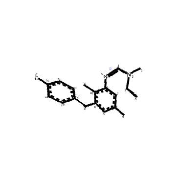 CCN(C)/C=N\c1cc(C)cc(Cc2ccc(Cl)cc2)c1C